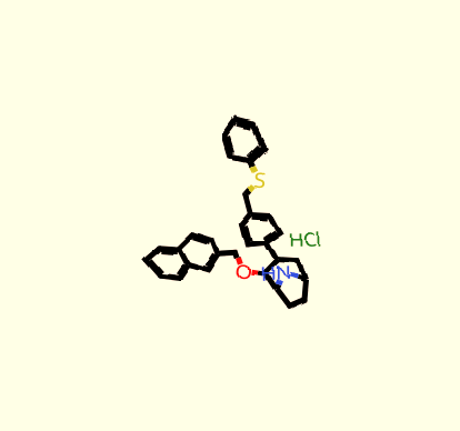 Cl.c1ccc(SCc2ccc(C3CC4CCC(N4)C3OCc3ccc4ccccc4c3)cc2)cc1